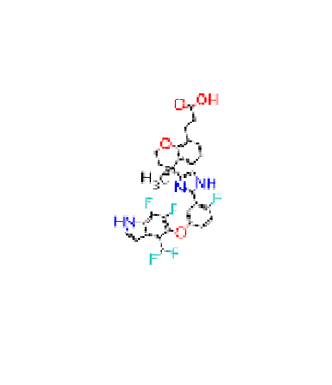 C[C@@]1(c2c[nH]c(-c3cc(Oc4c(F)c(F)c5[nH]ccc5c4C(F)F)ccc3F)n2)CCOc2c(CCC(=O)O)cccc21